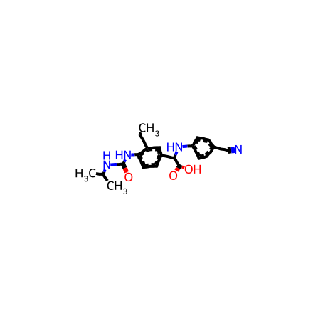 CCc1cc(C(Nc2ccc(C#N)cc2)C(=O)O)ccc1NC(=O)NC(C)C